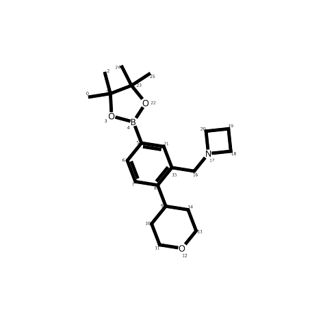 CC1(C)OB(c2ccc(C3CCOCC3)c(CN3CCC3)c2)OC1(C)C